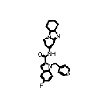 O=C(Nc1ccn2c3c(nc2c1)CCCC3)c1cc2cc(F)ccc2n1Cc1ccncc1